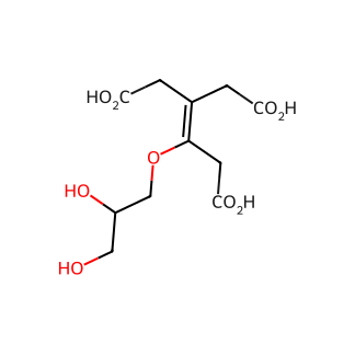 O=C(O)CC(CC(=O)O)=C(CC(=O)O)OCC(O)CO